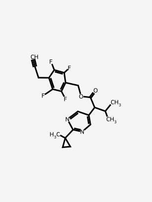 C#CCc1c(F)c(F)c(COC(=O)C(c2cnc(C3(C)CC3)nc2)C(C)C)c(F)c1F